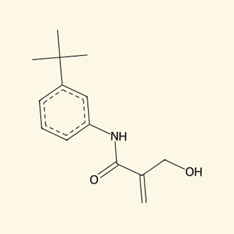 C=C(CO)C(=O)Nc1cccc(C(C)(C)C)c1